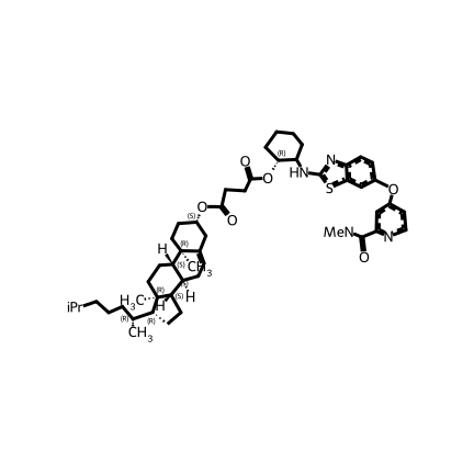 CNC(=O)c1cc(Oc2ccc3nc(NC4CCCC[C@H]4OC(=O)CCC(=O)O[C@H]4CC[C@@]5(C)C(=CC[C@H]6[C@@H]7CC[C@H]([C@H](C)CCCC(C)C)[C@@]7(C)CC[C@@H]65)C4)sc3c2)ccn1